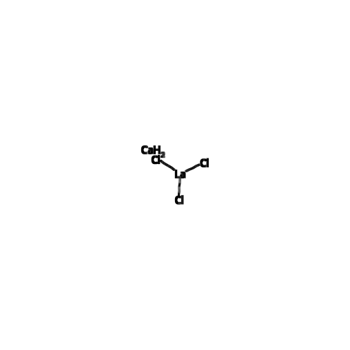 [CaH2].[Cl][La]([Cl])[Cl]